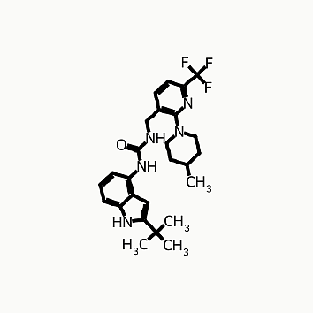 CC1CCN(c2nc(C(F)(F)F)ccc2CNC(=O)Nc2cccc3[nH]c(C(C)(C)C)cc23)CC1